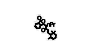 CCCC(C(=O)/C=C/C1C(C)=CCCC1(C)C)C1OC(=O)c2ccccc21